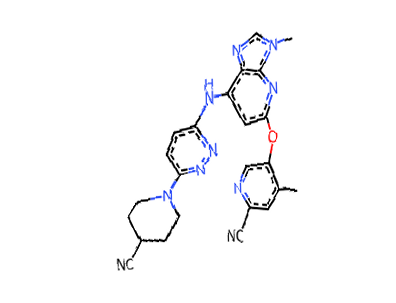 Cc1cc(C#N)ncc1Oc1cc(Nc2ccc(N3CCC(C#N)CC3)nn2)c2ncn(C)c2n1